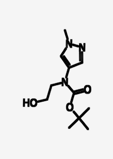 Cn1cc(N(CCO)C(=O)OC(C)(C)C)cn1